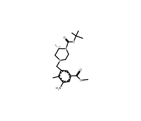 COC(=O)c1cc(N)c(C)c(CN2CCN(C(=O)OC(C)(C)C)[C@@H](C)C2)c1